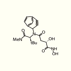 CNC(=O)[C@@H](N(C(=O)C[C@H](O)C(=O)NO)C1C#Cc2ccc1cc2)C(C)(C)C